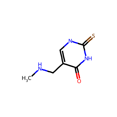 CNCC1=C[N]C(=S)NC1=O